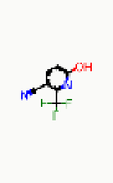 N#Cc1ccc(O)nc1C(F)(F)F